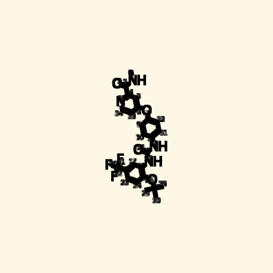 CNC(=O)c1cc(Oc2ccc(NC(=O)Nc3cc(C(F)(F)F)ccc3OC(C)(C)C)cc2)ccn1